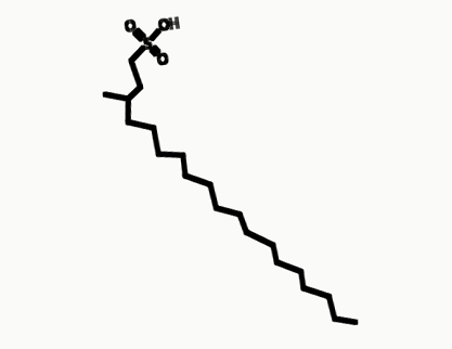 CCCCCCCCCCCCCCCCC(C)CCS(=O)(=O)O